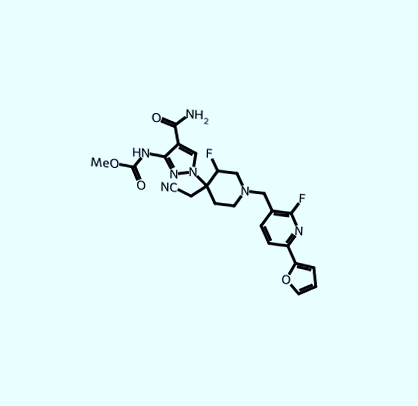 COC(=O)Nc1nn(C2(CC#N)CCN(Cc3ccc(-c4ccco4)nc3F)CC2F)cc1C(N)=O